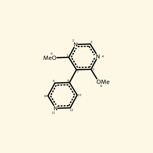 COc1ncnc(OC)c1-c1ccncc1